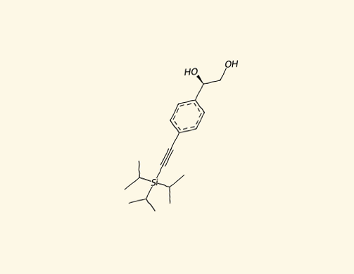 CC(C)[Si](C#Cc1ccc([C@@H](O)CO)cc1)(C(C)C)C(C)C